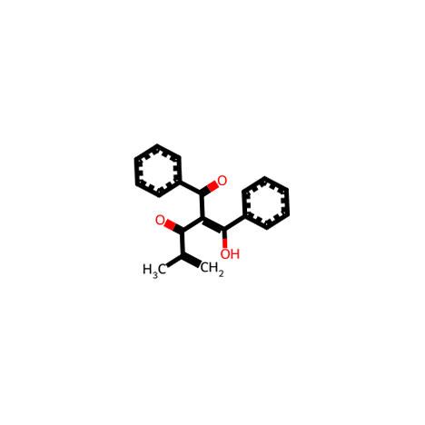 C=C(C)C(=O)C(C(=O)c1ccccc1)=C(O)c1ccccc1